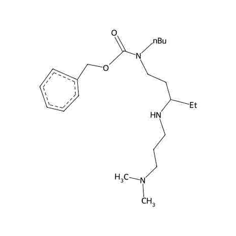 CCCCN(CCC(CC)NCCCN(C)C)C(=O)OCc1ccccc1